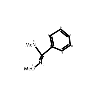 CNC(=NOC)c1ccccc1